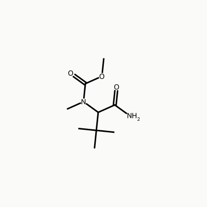 COC(=O)N(C)C(C(N)=O)C(C)(C)C